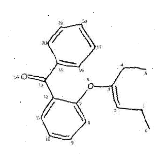 CCC=C(CC)Oc1ccccc1C(=O)c1ccccc1